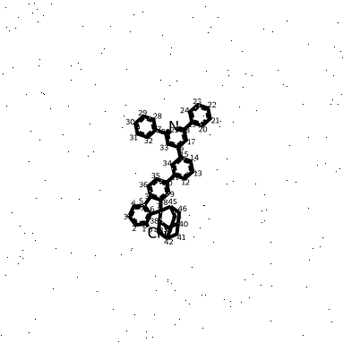 N#Cc1cccc2c1C1(c3cc(-c4cccc(-c5cc(-c6ccccc6)nc(-c6ccccc6)c5)c4)ccc3-2)C2CC3CC(C2)CC1C3